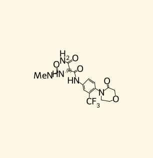 CNC(=O)N[C@H](C(N)=O)C(=O)Nc1ccc(N2CCOCC2=O)c(C(F)(F)F)c1